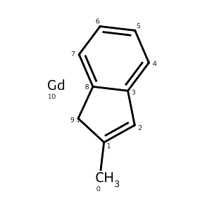 CC1=Cc2ccccc2[CH]1.[Gd]